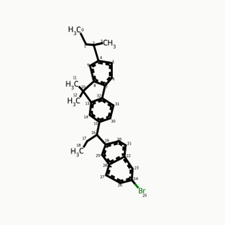 CCC(C)c1ccc2c(c1)C(C)(C)c1cc(C(CC)c3ccc4cc(Br)ccc4c3)ccc1-2